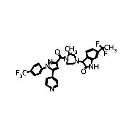 C[C@@H]1CN(C2C(=O)Nc3cc(C(C)(F)F)ccc32)CCN1C(=O)c1cc(-c2ccncc2)n(-c2ccc(C(F)(F)F)cc2)n1